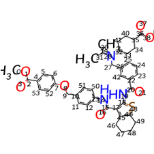 COC(=O)c1ccc(OCc2ccc(NC(=O)c3c(NC(=O)c4cccc(CN(C(C)C)[C@H]5CC[C@H](C(=O)OC)CC5)c4)sc4c3CCCC4)cc2)cc1